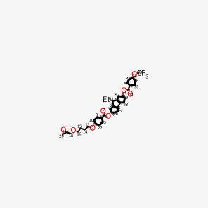 CCC1c2cc(OC(=O)c3ccc(OCCCCOCC4CO4)cc3)ccc2-c2ccc(OC(=O)c3ccc(OC(F)(F)F)cc3)cc21